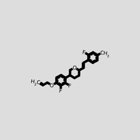 C=CCOc1ccc(C2CCC(/C=C/c3ccc(C)cc3F)OC2)c(F)c1F